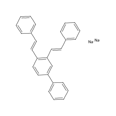 C(=Cc1ccc(-c2ccccc2)cc1C=Cc1ccccc1)c1ccccc1.[Na].[Na]